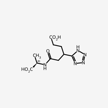 C[C@@H](NC(=O)CC(CCC(=O)O)c1nnn[nH]1)C(=O)O